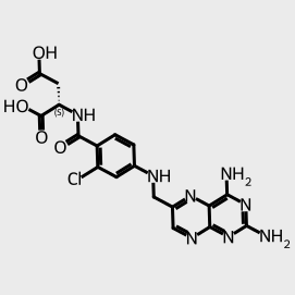 Nc1nc(N)c2nc(CNc3ccc(C(=O)N[C@@H](CC(=O)O)C(=O)O)c(Cl)c3)cnc2n1